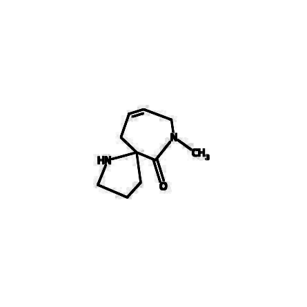 CN1CC=CCC2(CCCN2)C1=O